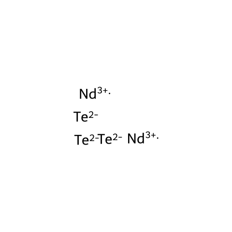 [Nd+3].[Nd+3].[Te-2].[Te-2].[Te-2]